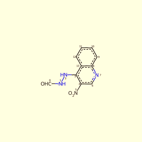 O=CNNc1c([N+](=O)[O-])cnc2ccccc12